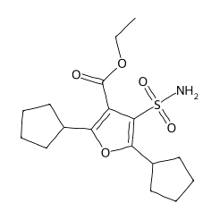 CCOC(=O)c1c(C2CCCC2)oc(C2CCCC2)c1S(N)(=O)=O